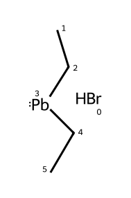 Br.C[CH2][Pb][CH2]C